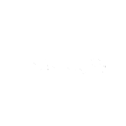 Cc1noc(C)c1S(=O)(=O)N1CCC(N2C[C](n3cc(-c4ncnc5[nH]ccc45)cn3)C2)CC1